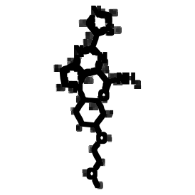 COCCOC1CCC(n2ccc3nc(-c4cncs4)nc(C(N)=O)c32)CC1